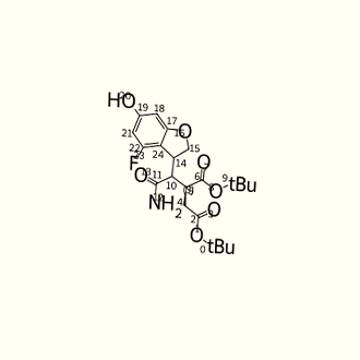 CC(C)(C)OC(=O)C[C@H](C(=O)OC(C)(C)C)C(C(N)=O)C1COc2cc(O)cc(F)c21